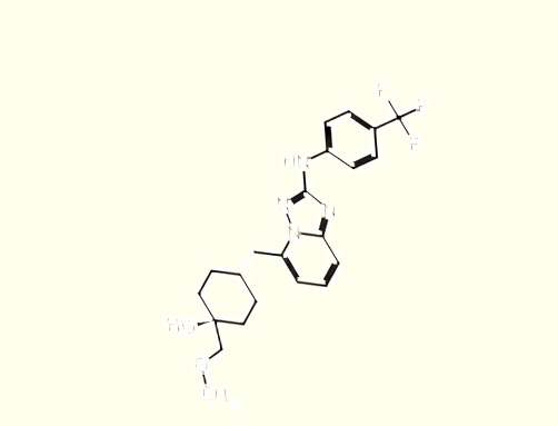 COC[C@]1(O)CC[C@H](Cc2cccc3nc(Nc4ccc(C(F)(F)F)cc4)nn23)CC1